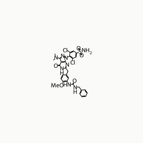 COc1ccc(Cc2nc3c(c(N(C)C)nn3-c3c(Cl)cc(S(N)(=O)=O)cc3Cl)c(=O)[nH]2)cc1NC(=O)NCc1ccccc1